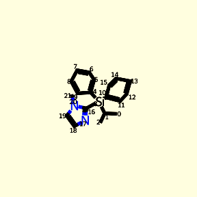 CC(C)[Si](c1ccccc1)(c1ccccc1)c1nccn1C